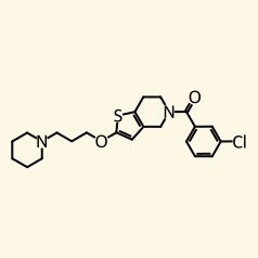 O=C(c1cccc(Cl)c1)N1CCc2sc(OCCCN3CCCCC3)cc2C1